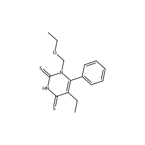 CCOCn1c(-c2ccccc2)c(CC)c(=S)[nH]c1=S